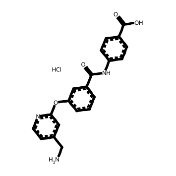 Cl.NCc1ccnc(Oc2cccc(C(=O)Nc3ccc(C(=O)O)cc3)c2)c1